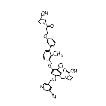 Cc1c(COc2cc(OCc3cncc(C#N)c3)c(CN3CCC3C(=O)O)cc2Cl)cccc1-c1cccc(OCCC(=O)N2CCC(O)C2)c1